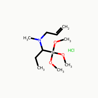 C=CCN(C)C(CC)[Si](OC)(OC)OC.Cl